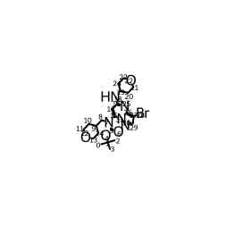 CC(C)(C)OC(=O)N(CC1CCOCC1)c1cc(NC2CCOCC2)nc2c(Br)cnn12